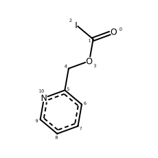 O=C(I)OCc1ccccn1